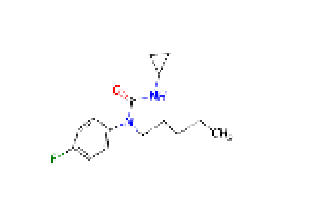 CCCCCN(C(=O)NC1CC1)c1ccc(F)cc1